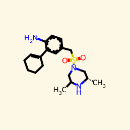 CC1CN(S(=O)(=O)Cc2ccc(N)c(C3=CCCCC3)c2)C[C@H](C)N1